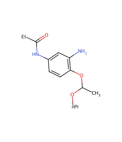 CCCOC(C)Oc1ccc(NC(=O)CC)cc1N